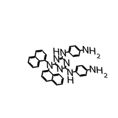 Nc1ccc(Nc2nc(Nc3ccc(N)cc3)nc(N(c3cccc4ccccc34)c3cccc4ccccc34)n2)cc1